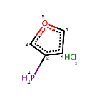 Cl.Pc1ccoc1